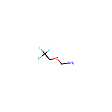 NCOCC(F)(F)F